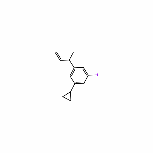 C=C[C](C)c1cc(I)cc(C2CC2)c1